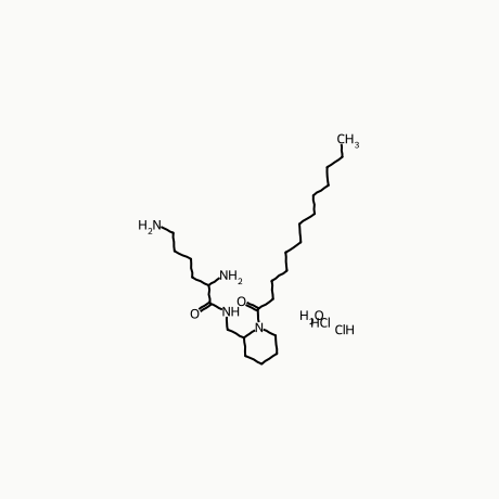 CCCCCCCCCCCCC(=O)N1CCCCC1CNC(=O)C(N)CCCCN.Cl.Cl.O